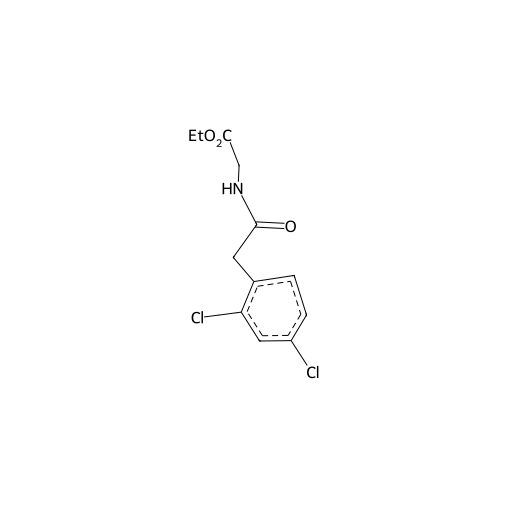 CCOC(=O)CNC(=O)Cc1ccc(Cl)cc1Cl